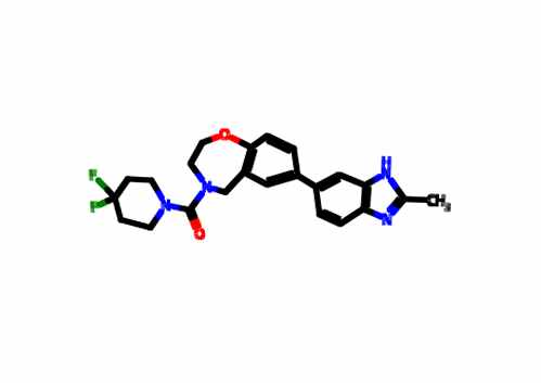 Cc1nc2ccc(-c3ccc4c(c3)CN(C(=O)N3CCC(F)(F)CC3)CCO4)cc2[nH]1